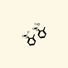 Cc1ccccc1[PH](=O)[O-].Cc1ccccc1[PH](=O)[O-].[Ca+2]